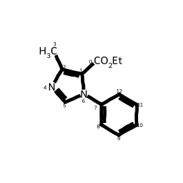 CCOC(=O)c1c(C)ncn1-c1ccccc1